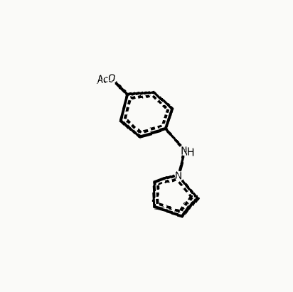 CC(=O)Oc1ccc(Nn2cccc2)cc1